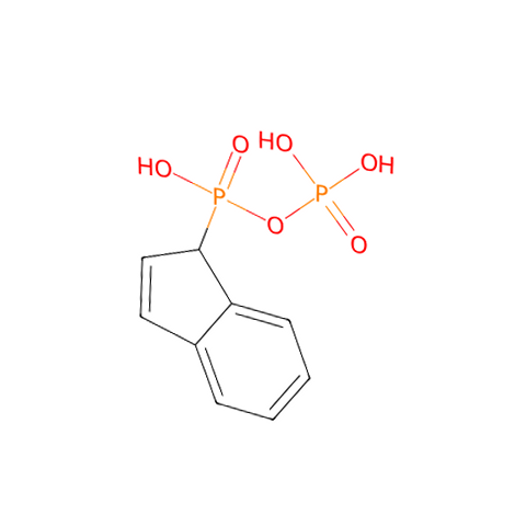 O=P(O)(O)OP(=O)(O)C1C=Cc2ccccc21